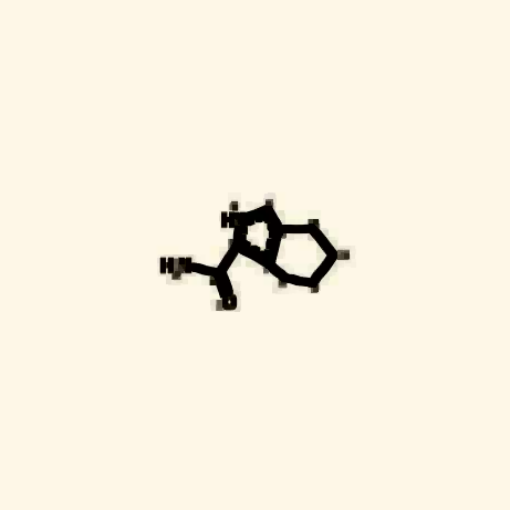 NC(=O)c1[nH]cc2c1CCCC2